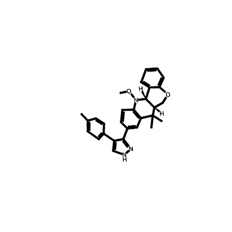 CON1c2ccc(-c3n[nH]cc3-c3ccc(C)cc3)cc2C(C)(C)[C@H]2COc3ccccc3[C@H]21